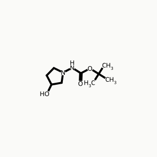 CC(C)(C)OC(=O)NN1CCC(O)C1